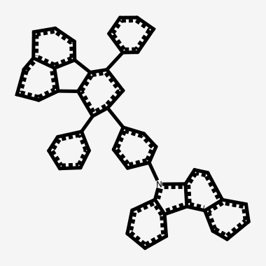 c1ccc(-c2cc(-c3ccc(-n4c5ccccc5c5c6ccccc6ccc54)cc3)c(-c3ccccc3)c3c2-c2cccc4cccc-3c24)cc1